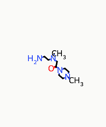 CN1CCN(C(=O)CN(C)CCN)CC1